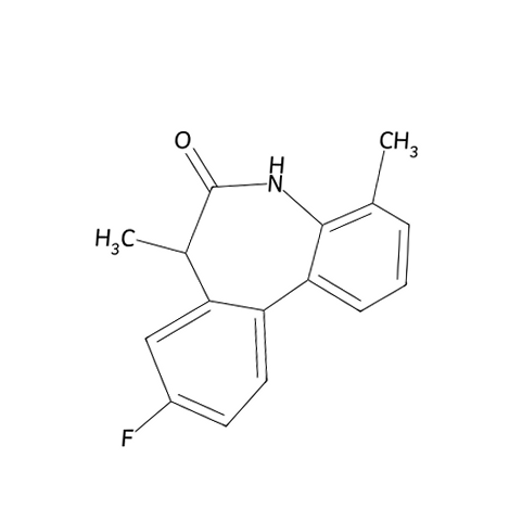 Cc1cccc2c1NC(=O)C(C)c1cc(F)ccc1-2